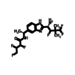 C[C@@H](NC(=O)C(F)C(F)CF)c1ccc2[nH]c([C@H](N)C(F)C(C)(C)C(F)F)nc2c1